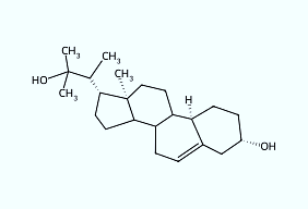 CC([C@H]1CCC2C3CC=C4C[C@@H](O)CC[C@@H]4C3CC[C@@]21C)C(C)(C)O